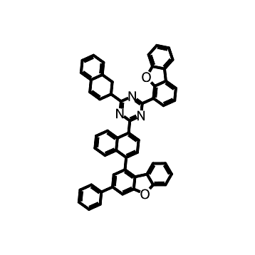 C1=CC(c2nc(-c3ccc(-c4cc(-c5ccccc5)cc5oc6ccccc6c45)c4ccccc34)nc(-c3cccc4c3oc3ccccc34)n2)Cc2ccccc21